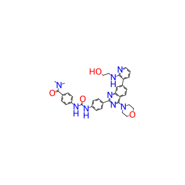 CN(C)C(=O)c1ccc(NC(=O)Nc2ccc(-c3nc(N4CCOCC4)c4ccc(-c5cccnc5NCCO)cc4n3)cc2)cc1